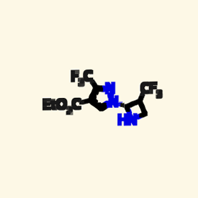 CCOC(=O)c1cn([C@H]2NCC2C(F)(F)F)nc1C(F)(F)F